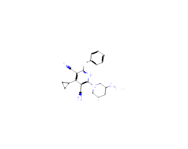 CNC1CCCN(c2nc(Sc3ccccc3)c(C#N)c(C3CC3)c2C#N)C1